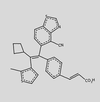 Cc1sccc1/C(=C(\c1ccc(/C=C/C(=O)O)cc1)c1ccc2scnc2c1C#N)C1CCC1